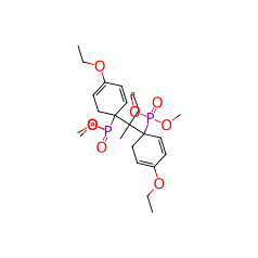 CCOC1=CCC(C(C)(CC)C2(P(=O)(OC)OC)C=CC(OCC)=CC2)(P(=O)(OC)OC)C=C1